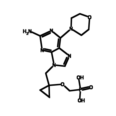 Nc1nc(N2CCOCC2)c2ncn(CC3(OCP(=O)(O)O)CC3)c2n1